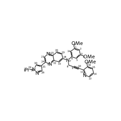 COc1cc(OC)cc(N(CC#Cc2ncccc2OC)c2ccc3ncc(-c4cnn(C(C)C)c4)nc3c2)c1